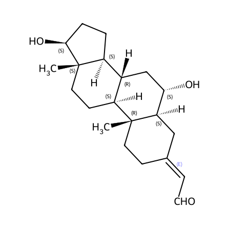 C[C@]12CC/C(=C\C=O)C[C@@H]1[C@@H](O)C[C@@H]1[C@@H]2CC[C@]2(C)[C@@H](O)CC[C@@H]12